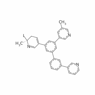 Cc1cncc(-c2cc(C3=CC[C@](C)(I)N=C3)cc(-c3cccc(-c4cccnc4)c3)c2)c1